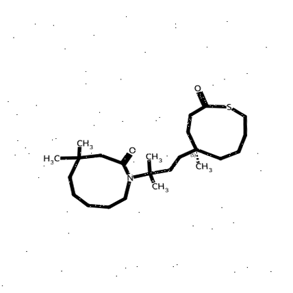 CC1(C)CCCCCN(C(C)(C)CC[C@]2(C)CCCCSC(=O)CC2)C(=O)C1